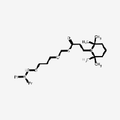 CC(C)N(POCCCOCSC(=O)CCN1C(C)(C)CCCC1(C)C)C(C)C